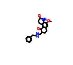 COc1cc2c(c3c1NC(=O)CC3)C(=O)C(CNCCc1ccccc1)CC2